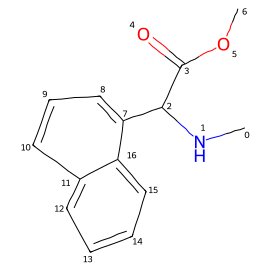 CNC(C(=O)OC)c1cccc2ccccc12